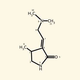 CC1CNC(=O)/C1=C/CN(C)C